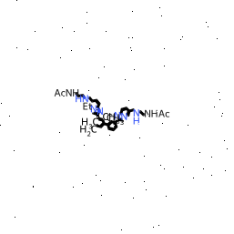 C=C/C=C(\C(C)=C(/C)c1cn(CC)c(/C=C\CCNCCNC(C)=O)n1)c1cccc(-c2cn3cc(CNCCNC(C)=O)ccc3n2)c1C